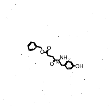 N[C@H](Cc1ccc(O)cc1)C(=O)CCC(=O)OCc1ccccc1